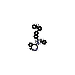 C=C1/C=C\C=C/CC(C(=N/Cc2ccccc2)/N=C(\N)c2ccc3ccc(-c4cccc5oc6ccccc6c45)cc3c2)=Cc2ccccc21